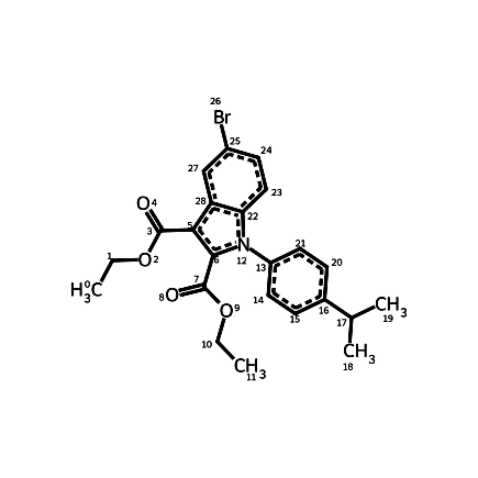 CCOC(=O)c1c(C(=O)OCC)n(-c2ccc(C(C)C)cc2)c2ccc(Br)cc12